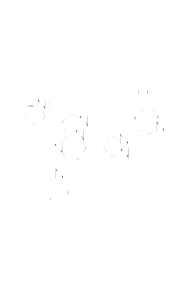 Cc1nn(-c2cncc(O)c2)c(C)c1-c1cc(N2CCOC[C@H]2C)nc2c(-c3ccc[nH]3)cnn12